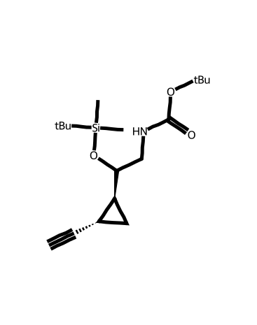 C#C[C@H]1C[C@@H]1C(CNC(=O)OC(C)(C)C)O[Si](C)(C)C(C)(C)C